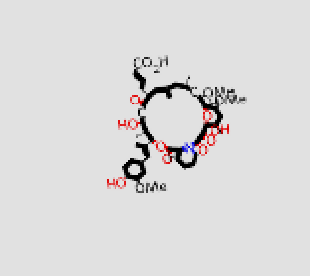 CO[C@H]1C[C@@H](C)C/C(C)=C/[C@@H](C/C=C/C(=O)O)C(=O)C[C@H](O)[C@@H](C)[C@@H](/C(C)=C/[C@@H]2CC[C@@H](O)[C@H](OC)C2)OC(=O)[C@@H]2CCCCN2C(=O)C(=O)[C@]2(O)O[C@H]1[C@@H](OC)C[C@H]2C